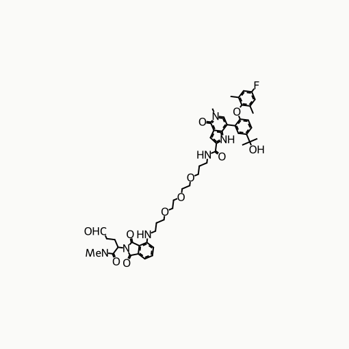 CNC(=O)C(CCC=O)N1C(=O)c2cccc(NCCCOCCOCCOCCCNC(=O)c3cc4c(=O)n(C)cc(-c5cc(C(C)(C)O)ccc5Oc5c(C)cc(F)cc5C)c4[nH]3)c2C1=O